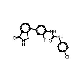 O=C(Nc1ccc(Cl)cc1)Nc1ccc(-c2cccc3c2CNC3=O)cc1F